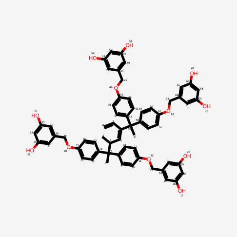 C=C/C(=C\C(C)C(C)(c1ccc(OCc2cc(O)cc(O)c2)cc1)c1ccc(OCc2cc(O)cc(O)c2)cc1)C(C)(c1ccc(OCc2cc(O)cc(O)c2)cc1)c1ccc(OCc2cc(O)cc(O)c2)cc1